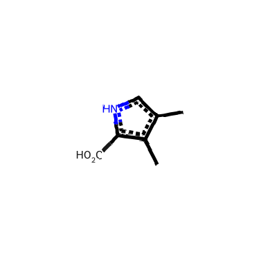 Cc1c[nH]c(C(=O)O)c1C